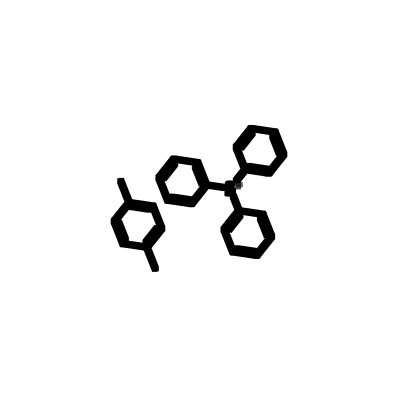 Cc1ccc(C)cc1.c1ccc([S+](c2ccccc2)c2ccccc2)cc1